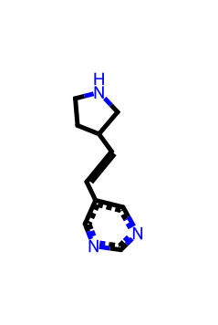 C(=CC1CCNC1)c1cncnc1